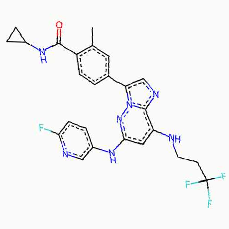 Cc1cc(-c2cnc3c(NCCC(F)(F)F)cc(Nc4ccc(F)nc4)nn23)ccc1C(=O)NC1CC1